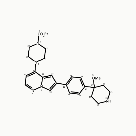 CCOC(=O)N1CCN(c2ccnn3cc(-c4ccc(C5(OC)CCNCC5)cc4)cc23)CC1